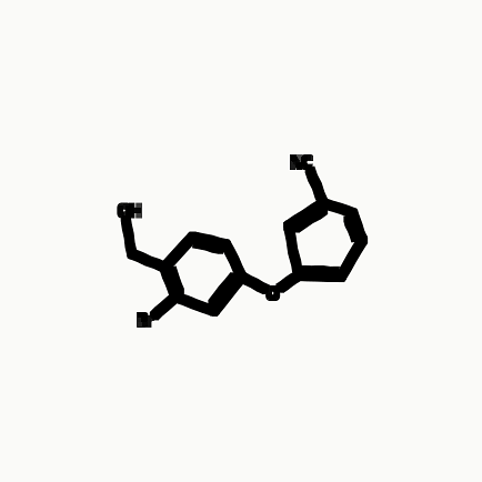 N#Cc1cccc(Oc2ccc(CO)c(Br)c2)c1